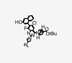 CN(C)C1CN(c2nc(N3C[C@@H]4CC[C@H]3CN4C(=O)OC(C)(C)C)c3cc(Cl)c(-c4cc(O)cc5ccccc45)c(F)c3n2)C1